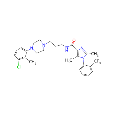 Cc1c(Cl)cccc1N1CCN(CCCNC(=O)c2nc(C)n(-c3ccccc3C(F)(F)F)c2C)CC1